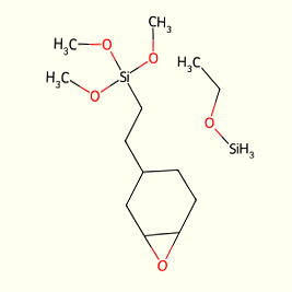 CCO[SiH3].CO[Si](CCC1CCC2OC2C1)(OC)OC